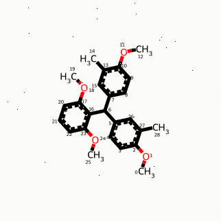 COc1ccc(C(c2ccc(OC)c(C)c2)c2c(OC)c[c]cc2OC)cc1C